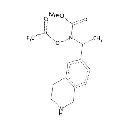 COC(=O)N(OC(=O)C(F)(F)F)C(C)c1ccc2c(c1)CCNC2